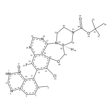 Cc1ccc2nc[nH]c(=O)c2c1-c1c(Cl)c2c3c(ncnc3c1F)N1CCN(C(=O)OC(C)(C)C)C[C@H]1CO2